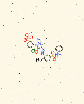 Cc1[nH]n(-c2cc(S(=O)(=O)[O-])ccc2Cl)c(=O)c1N=Nc1cccc(S(=O)(=O)Nc2ccccc2)c1.[Na+]